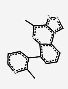 Cc1ncccc1-c1cccc2c1nc(C)c1nncn12